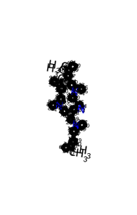 CC1(C)c2ccccc2-c2cc(-c3ccc4c(c3)c3ccccc3n4-c3cccc(-c4cc5nccc(-c6cccc(-n7c8ccccc8c8cc(-c9ccc%10c(c9)-c9ccccc9C%10(C)C)ccc87)c6)c5cc4-c4cccc(-n5c6ccccc6c6cc(-c7ccc8c(c7)-c7ccccc7C8(C)C)ccc65)c4)c3)ccc21